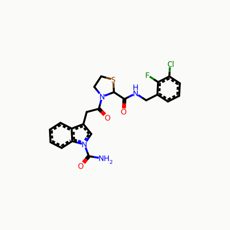 NC(=O)n1cc(CC(=O)N2CCSC2C(=O)NCc2cccc(Cl)c2F)c2ccccc21